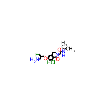 CC(C)NC(=O)CN1CCc2cc(OC/C(=C/F)CN)ccc2C1=O.Cl